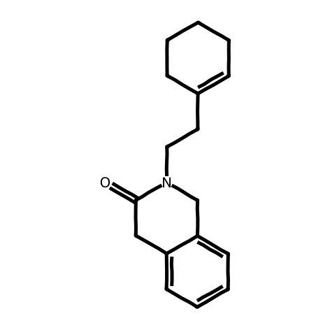 O=C1Cc2ccccc2CN1CCC1=CCCCC1